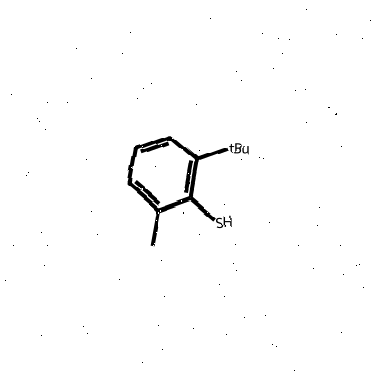 Cc1cccc(C(C)(C)C)c1S